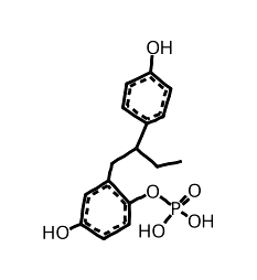 CCC(Cc1cc(O)ccc1OP(=O)(O)O)c1ccc(O)cc1